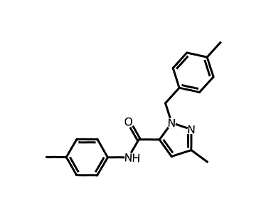 Cc1ccc(Cn2nc(C)cc2C(=O)Nc2ccc(C)cc2)cc1